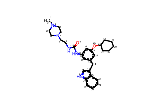 CN1CCN(CCNC(=O)Nc2cc(Cc3c[nH]c4ccccc34)cc(OC3CCCCC3)c2)CC1